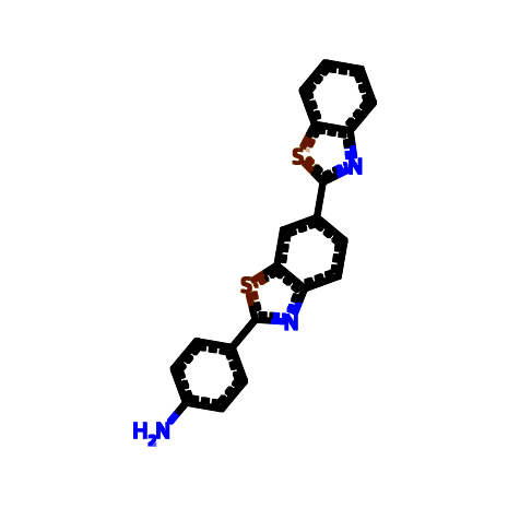 Nc1ccc(-c2nc3ccc(-c4nc5ccccc5s4)cc3s2)cc1